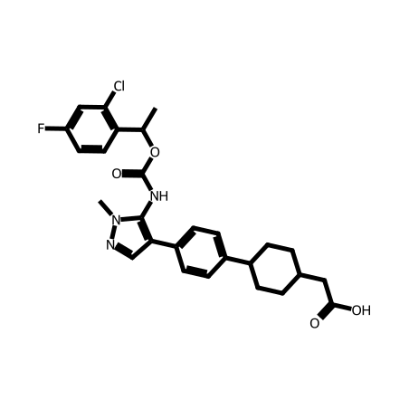 CC(OC(=O)Nc1c(-c2ccc(C3CCC(CC(=O)O)CC3)cc2)cnn1C)c1ccc(F)cc1Cl